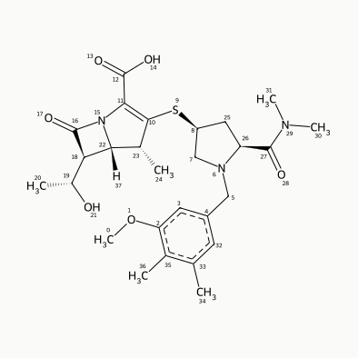 COc1cc(CN2C[C@@H](SC3=C(C(=O)O)N4C(=O)[C@H]([C@@H](C)O)[C@H]4[C@H]3C)C[C@H]2C(=O)N(C)C)cc(C)c1C